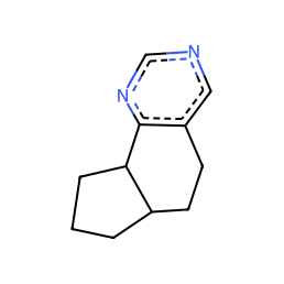 c1ncc2c(n1)C1CCCC1CC2